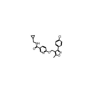 Cc1onc(-c2ccc(Cl)cc2)c1COc1ccc(C(=O)NCC2CC2)cn1